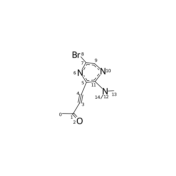 CC(=O)C#Cc1nc(Br)cnc1N(C)C